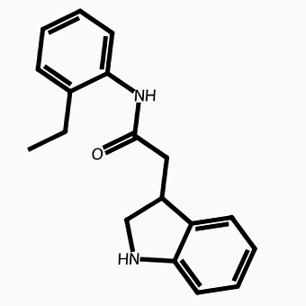 CCc1ccccc1NC(=O)CC1CNc2ccccc21